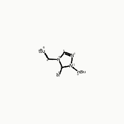 CCCCN1N=CN(CC(C)(C)C)C1Br